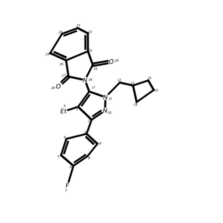 CCc1c(-c2ccc(F)cc2)nn(CC2CCC2)c1N1C(=O)c2ccccc2C1=O